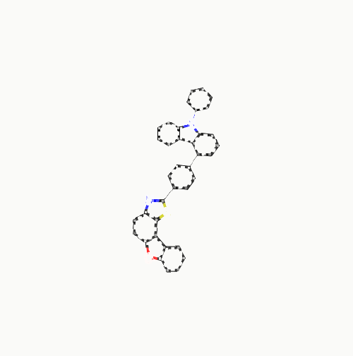 c1ccc(-n2c3ccccc3c3c(-c4ccc(-c5nc6ccc7oc8ccccc8c7c6s5)cc4)cccc32)cc1